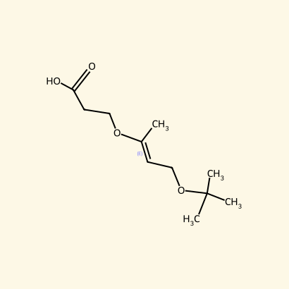 C/C(=C\COC(C)(C)C)OCCC(=O)O